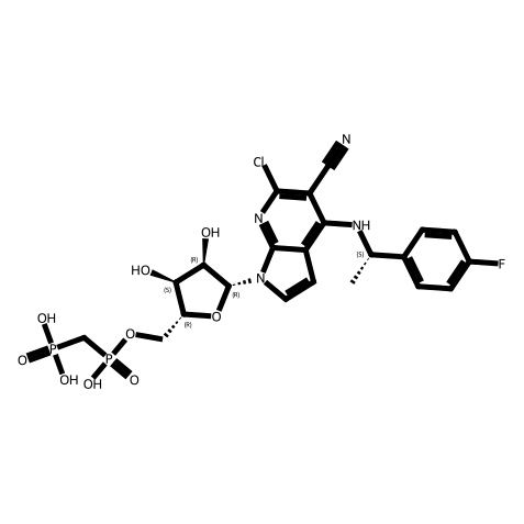 C[C@H](Nc1c(C#N)c(Cl)nc2c1ccn2[C@@H]1O[C@H](COP(=O)(O)CP(=O)(O)O)[C@@H](O)[C@H]1O)c1ccc(F)cc1